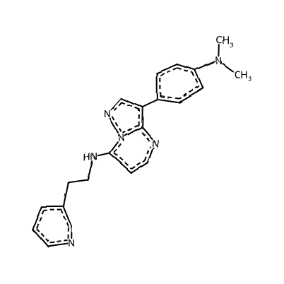 CN(C)c1ccc(-c2cnn3c(NCCc4cccnc4)ccnc23)cc1